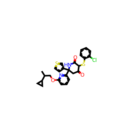 CC(COc1cccc(C2(c3ccsc3)CC(=O)C(Sc3ccccc3Cl)C(=O)N2)n1)C1CC1